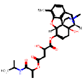 COc1ccc2c3c1O[C@H]1C(OC(=O)C(O)CC(=O)OC(C)C(=O)NC(C)C(=O)O)=CC[C@@]4(O)[C@@H](C2)N(C)CC[C@]314